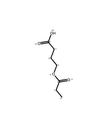 CCC(=O)OCCCC(=O)O